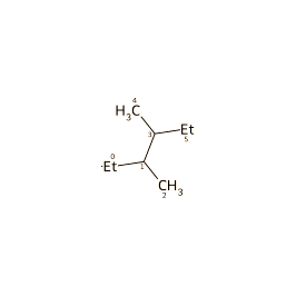 C[CH]C(C)C(C)CC